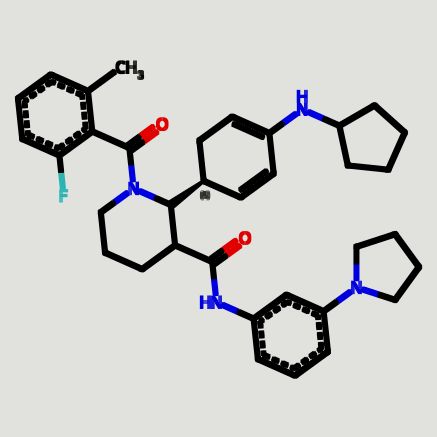 Cc1cccc(F)c1C(=O)N1CCCC(C(=O)Nc2cccc(N3CCCC3)c2)C1[C@@H]1C=CC(NC2CCCC2)=CC1